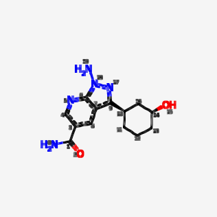 NC(=O)c1cnc2c(c1)c([C@@H]1CCC[C@H](O)C1)nn2N